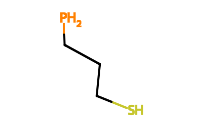 PCCCS